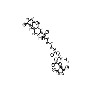 CC(OC(=O)CCCCCNC(=O)C1CCC(CN2C(=O)C=CC2=O)CC1)OC(=O)ON1C(=O)CCC1=O